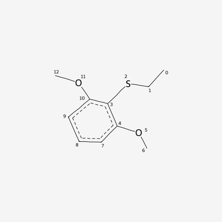 CCSc1c(OC)cccc1OC